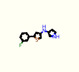 Fc1cccc(-c2cc(Nc3cc[nH]c3)cs2)c1